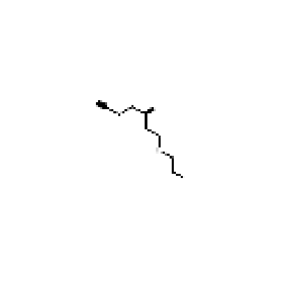 C#CCCC(=C)CCNCCC